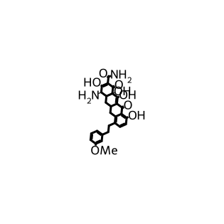 COc1cccc(CCc2ccc(O)c3c2CC2CC4[C@H](N)C(O)=C(C(N)=O)C(=O)[C@@]4(O)C(O)=C2C3=O)c1